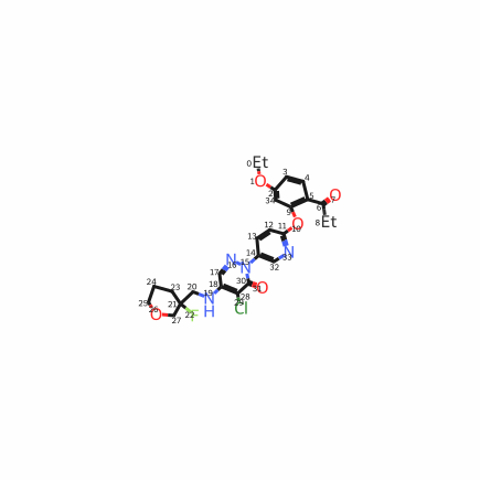 CCOc1ccc(C(=O)CC)c(Oc2ccc(-n3ncc(NCC4(F)CCCOC4)c(Cl)c3=O)cn2)c1